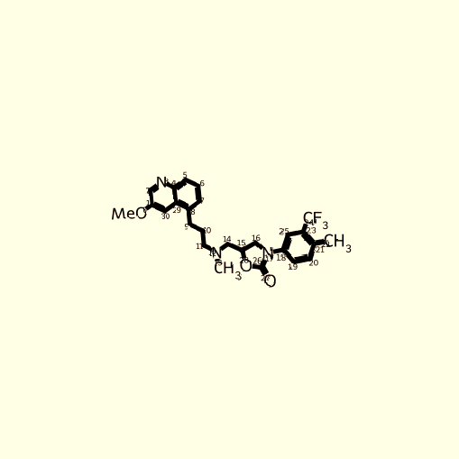 COc1cnc2cccc(CCCN(C)CC3CN(c4ccc(C)c(C(F)(F)F)c4)C(=O)O3)c2c1